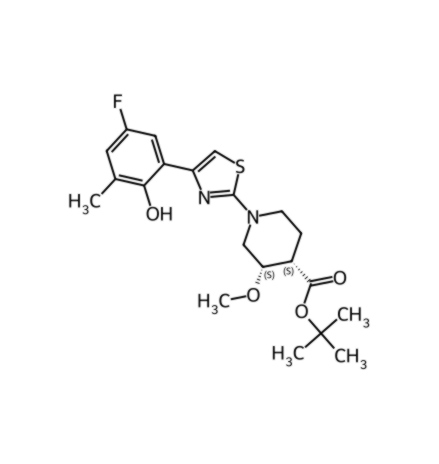 CO[C@@H]1CN(c2nc(-c3cc(F)cc(C)c3O)cs2)CC[C@@H]1C(=O)OC(C)(C)C